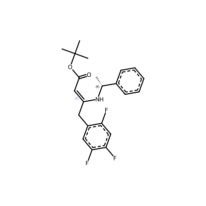 C[C@@H](N/C(=C\C(=O)OC(C)(C)C)Cc1cc(F)c(F)cc1F)c1ccccc1